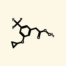 COC(=O)Cc1cc(OC2CC2)cc(C(F)(F)F)c1